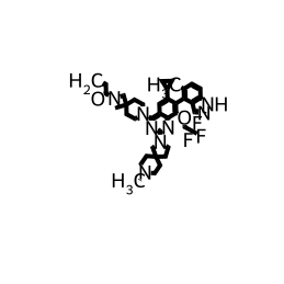 C=CC(=O)N1CC2(CCN(c3nc(N4CCC5(CCN(C)CC5)C4)nc4c(OCC(F)(F)F)c(-c5c(C)ccc6[nH]ncc56)c(C5CC5)cc34)CC2)C1